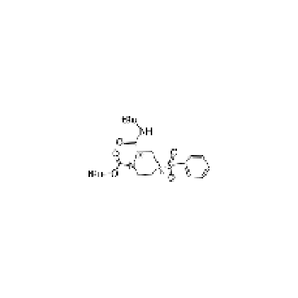 CC(C)(C)NC(=O)[C@@H]1C[C@H](S(=O)(=O)c2ccccc2)CCN1C(=O)OC(C)(C)C